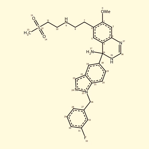 COc1cc2c(cc1CCNCCS(C)(=O)=O)C(N)(c1ccc3c(cnn3Cc3cccc(F)c3)c1)NC=N2